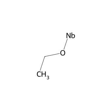 CC[O][Nb]